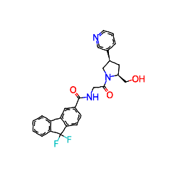 O=C(NCC(=O)N1C[C@@H](c2cccnc2)C[C@H]1CO)c1ccc2c(c1)-c1ccccc1C2(F)F